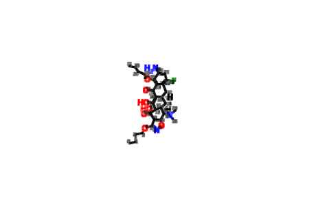 CCCCOc1noc2c1C(=O)[C@@]1(O)C(O)=C3C(=O)c4c(c(F)cc(N)c4OCCCC)C[C@H]3C[C@H]1[C@@H]2N(C)C